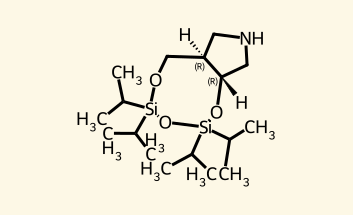 CC(C)[Si]1(C(C)C)OC[C@H]2CNC[C@@H]2O[Si](C(C)C)(C(C)C)O1